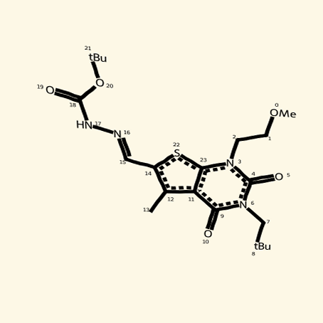 COCCn1c(=O)n(CC(C)(C)C)c(=O)c2c(C)c(C=NNC(=O)OC(C)(C)C)sc21